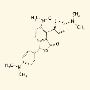 CN(C)c1ccc(-c2c(N(C)C)ccc3c2C(=O)OC3c2ccc(N(C)C)cc2)cc1